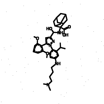 COc1cccc(OC)c1-c1cc(C(O)NC2(C(=O)O)C3CC4CC(C3)CC2C4)nn1-c1ccc(NCCCCN(C)C)cc1C(C)C